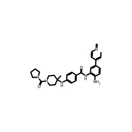 C=N/C=C\C(=C/C)c1ccc(N)c(NC(=O)c2ccc(NC3(C)CCN(C(=O)N4CCCC4)CC3)cc2)c1